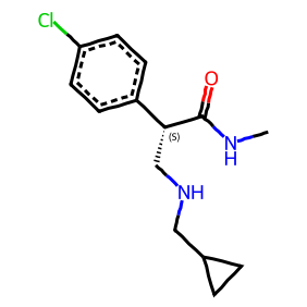 CNC(=O)[C@H](CNCC1CC1)c1ccc(Cl)cc1